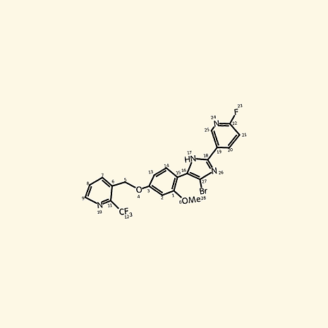 COc1cc(OCc2cccnc2C(F)(F)F)ccc1-c1[nH]c(-c2ccc(F)nc2)nc1Br